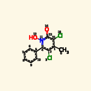 Cc1c(Cl)c(-c2ccccc2)n(O)c(=O)c1Cl